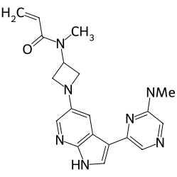 C=CC(=O)N(C)C1CN(c2cnc3[nH]cc(-c4cncc(NC)n4)c3c2)C1